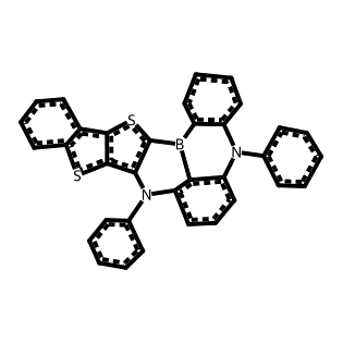 c1ccc(N2c3ccccc3B3c4sc5c(sc6ccccc65)c4N(c4ccccc4)c4cccc2c43)cc1